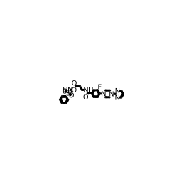 O=C(CCNC(=O)c1ccc(N2CCN(c3ncccn3)CC2)c(F)c1)ONS(=O)(=O)c1ccccc1